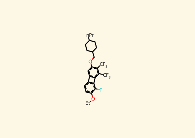 CCCC1CCC(COc2cc3c(c(C(F)(F)F)c2C(F)(F)F)-c2c-3ccc(OCC)c2F)CC1